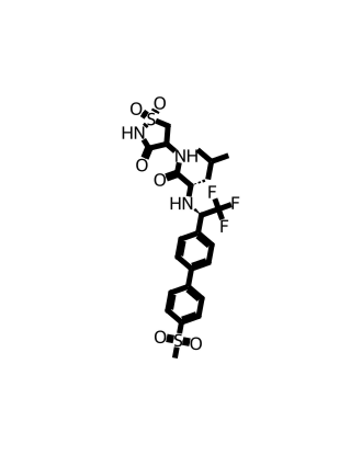 CC(C)C[C@H](N[C@@H](c1ccc(-c2ccc(S(C)(=O)=O)cc2)cc1)C(F)(F)F)C(=O)NC1CS(=O)(=O)NC1=O